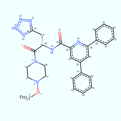 CCOC(=O)ON1CCN(C(=O)[C@H](Cc2nn[nH]n2)NC(=O)c2cc(-c3ccccc3)cc(-c3ccccc3)n2)CC1